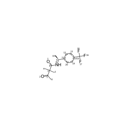 CC(=O)C(C)(C)C(=O)N[C@@H](C)c1ccc(C(F)(F)F)cc1